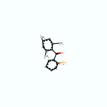 Cc1cc(C)c(C(=O)c2ccccc2P)c(C)c1